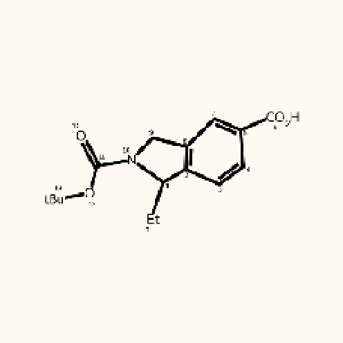 CCC1c2ccc(C(=O)O)cc2CN1C(=O)OC(C)(C)C